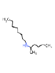 CCCCCCCCNC(C)CCCC